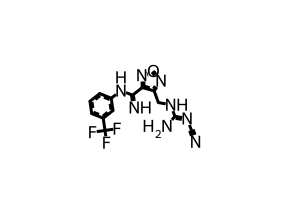 N#C/N=C(\N)NCc1nonc1C(=N)Nc1cccc(C(F)(F)F)c1